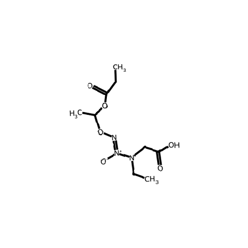 CCC(=O)OC(C)O/N=[N+](\[O-])N(CC)CC(=O)O